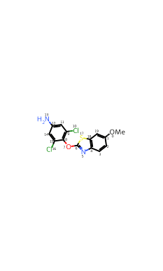 COc1ccc2nc(Oc3c(Cl)cc(N)cc3Cl)sc2c1